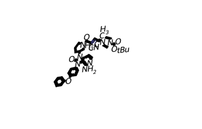 CC(C)(C)OC(=O)N1CCN(C(C)(C)/C=C(\C#N)C(=O)N2CCCC(n3c(=O)n(-c4ccc(Oc5ccccc5)cc4)c4c(N)nccc43)C2)CC1